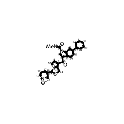 CNC(=O)n1cc(C(=O)c2ccn3c2CSC3c2ccc[n+]([O-])c2)c2ccc(-c3ccccc3)cc21